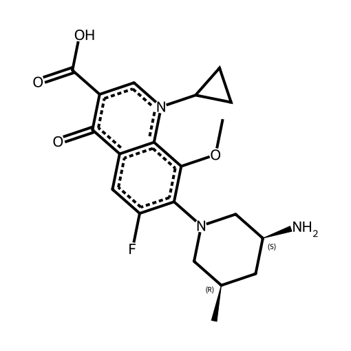 COc1c(N2C[C@H](C)C[C@H](N)C2)c(F)cc2c(=O)c(C(=O)O)cn(C3CC3)c12